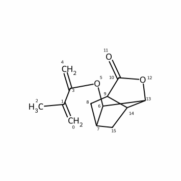 C=C(C)C(=C)OC1C2CC3C(=O)OC1C3C2